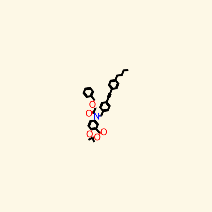 CCCCc1ccc(C#Cc2ccc(CN(C(=O)COCc3ccccc3)c3ccc4c(c3)C(=O)OC(C)(C)O4)cc2)cc1